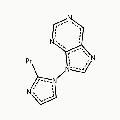 CC(C)c1nccn1-n1cnc2cncnc21